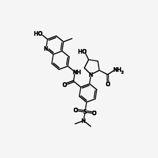 Cc1cc(O)nc2ccc(NC(=O)c3cc(S(=O)(=O)N(C)C)ccc3N3CC(O)CC3C(N)=O)cc12